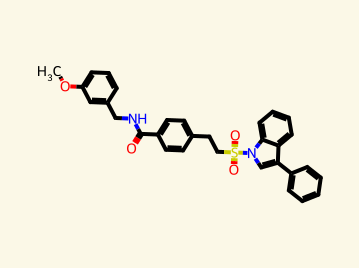 COc1cccc(CNC(=O)c2ccc(CCS(=O)(=O)n3cc(-c4ccccc4)c4ccccc43)cc2)c1